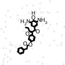 CCc1oc2cc(OC(=O)Cc3ccccc3)ccc2c1C(=O)c1cc(N)c(O)c(N)c1